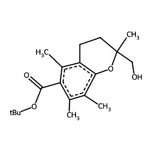 Cc1c(C)c(C(=O)OC(C)(C)C)c(C)c2c1OC(C)(CO)CC2